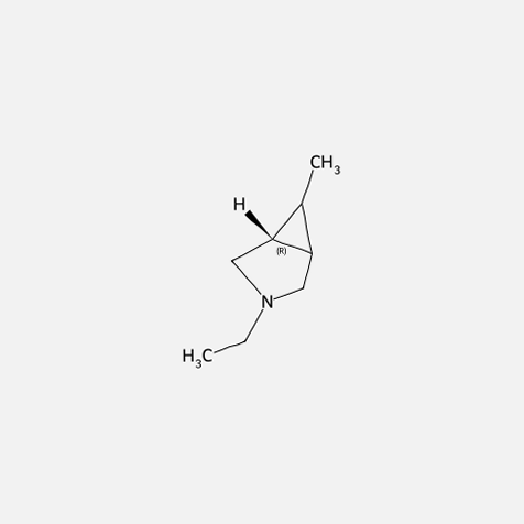 CCN1CC2C(C)[C@H]2C1